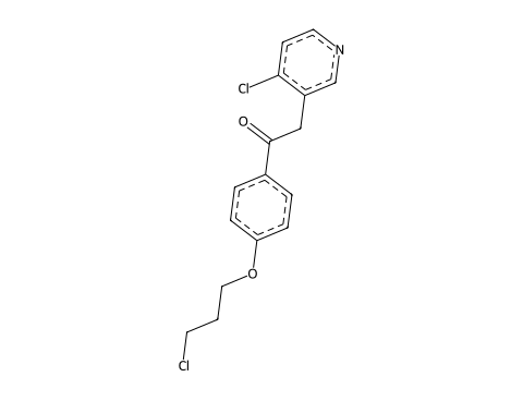 O=C(Cc1cnccc1Cl)c1ccc(OCCCCl)cc1